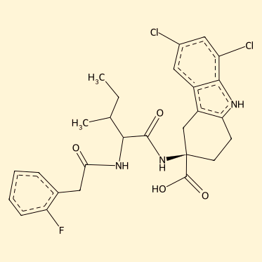 CCC(C)C(NC(=O)Cc1ccccc1F)C(=O)N[C@]1(C(=O)O)CCc2[nH]c3c(Cl)cc(Cl)cc3c2C1